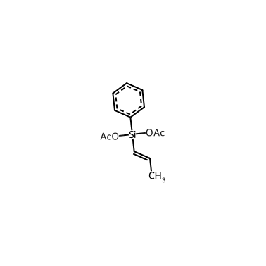 CC=C[Si](OC(C)=O)(OC(C)=O)c1ccccc1